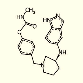 CNC(=O)Oc1ccc(CN2CCC[C@H](Nc3ccc4[nH]ncc4c3)C2)cc1